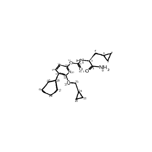 NC(=O)[C@H](CC1CC1)NC(=O)Oc1ccc(C2CCCC2)c(OCC2CC2)n1